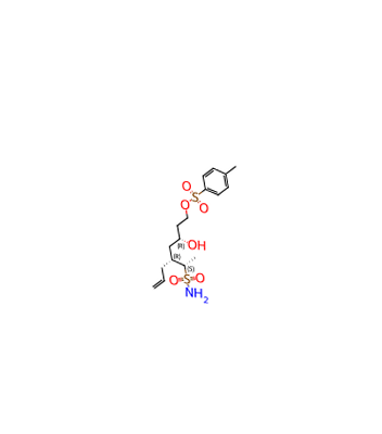 C=CC[C@H](C[C@@H](O)CCOS(=O)(=O)c1ccc(C)cc1)[C@H](C)S(N)(=O)=O